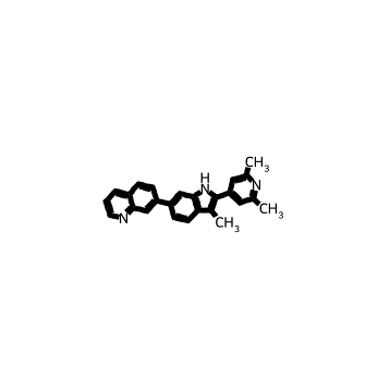 Cc1cc(-c2[nH]c3cc(-c4ccc5cccnc5c4)ccc3c2C)cc(C)n1